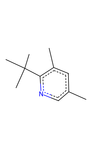 Cc1cnc(C(C)(C)C)c(C)c1